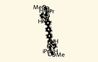 COC(=O)N[C@H](C(=O)N1CCC[C@H]1c1ncc(-c2ccc(-c3ccc(-c4ccc5nc([C@@H]6CCCN6C(=O)[C@@H](NC(=O)OC)C(C)C)[nH]c5c4)cc3)cc2)[nH]1)C(C)C